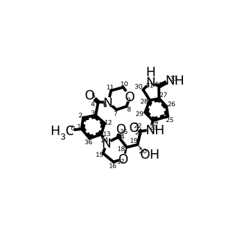 Cc1cc(C(=O)N2CCOCC2)cc(N2CCO[C@H]([C@@H](O)C(=O)Nc3ccc4c(c3)CNC4=N)C2=O)c1